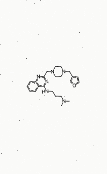 CN(C)CCCNc1nc(CN2CCN(Cc3ccoc3)CC2)nc2ccccc12